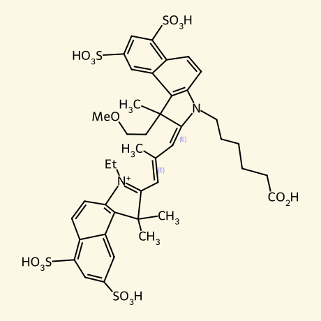 CC[N+]1=C(/C=C(C)/C=C2/N(CCCCCC(=O)O)c3ccc4c(S(=O)(=O)O)cc(S(=O)(=O)O)cc4c3C2(C)CCOC)C(C)(C)c2c1ccc1c(S(=O)(=O)O)cc(S(=O)(=O)O)cc21